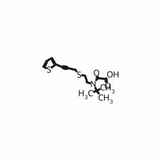 CC(C)(C)N(CCSCC#Cc1cccs1)C(=O)C(=O)O